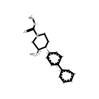 CC(C)(C)OC(=O)N1CC[C@H](c2ccc(-c3ccccc3)cc2)[C@@H](C(=O)O)C1